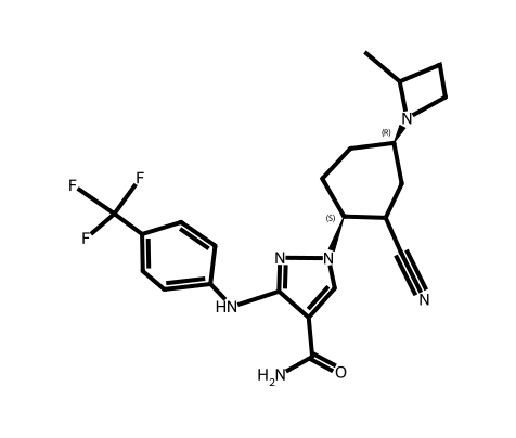 CC1CCN1[C@@H]1CC[C@H](n2cc(C(N)=O)c(Nc3ccc(C(F)(F)F)cc3)n2)C(C#N)C1